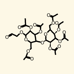 CC(=O)OCC1OC(OCC=O)[C@H](OC(C)=O)C(OC(C)=O)C1O[C@H]1OC(COC(C)=O)[C@@H](OC(C)=O)C(OC(C)=O)[C@H]1OC(C)=O